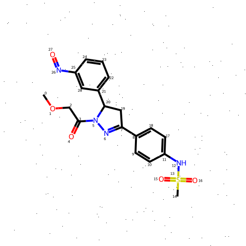 COCC(=O)N1N=C(c2ccc(NS(C)(=O)=O)cc2)CC1c1cccc(N=O)c1